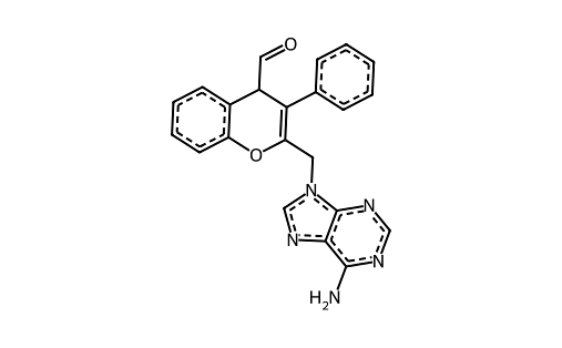 Nc1ncnc2c1ncn2CC1=C(c2ccccc2)C(C=O)c2ccccc2O1